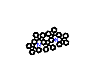 c1ccc(C2(c3ccccc3)c3cc4c(cc3-c3cc5c(cc32)N2c3ccccc3C(c3ccccc3)(c3ccccc3)c3cccc(c32)C5(c2ccccc2)c2ccccc2)C(c2ccccc2)(c2ccccc2)c2cccc3c2N4c2ccccc2C3(c2ccccc2)c2ccccc2)cc1